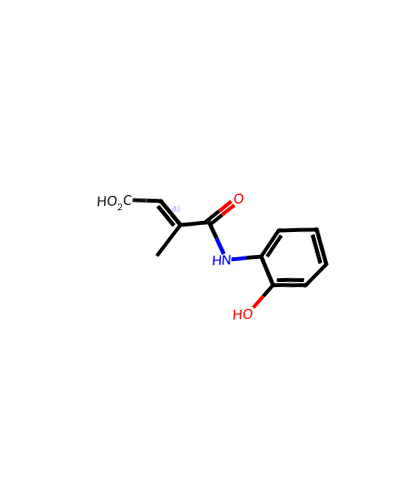 C/C(=C\C(=O)O)C(=O)Nc1ccccc1O